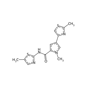 Cc1cnc(NC(=O)c2cc(-c3csc(C)n3)cn2C)s1